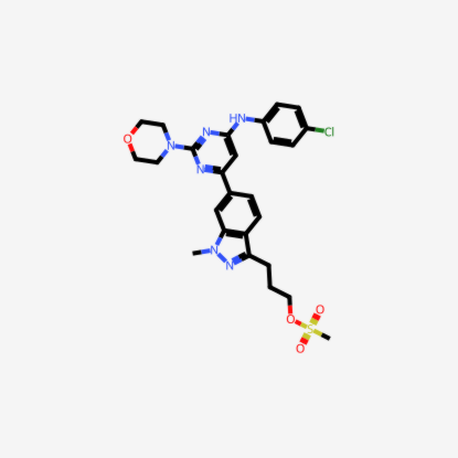 Cn1nc(CCCOS(C)(=O)=O)c2ccc(-c3cc(Nc4ccc(Cl)cc4)nc(N4CCOCC4)n3)cc21